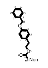 CCCCCCCCCC(=O)OCCc1ccc(OCc2ccccc2)cc1